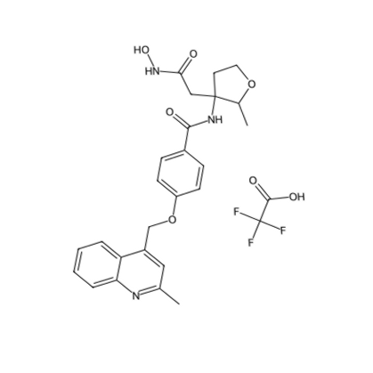 Cc1cc(COc2ccc(C(=O)NC3(CC(=O)NO)CCOC3C)cc2)c2ccccc2n1.O=C(O)C(F)(F)F